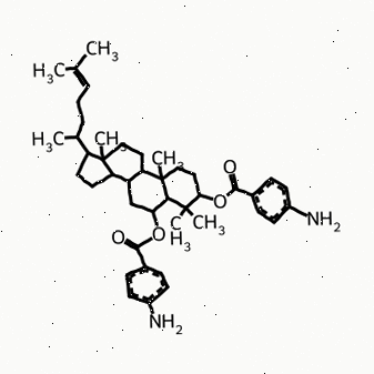 CC(C)=CCCC(C)C1CCC2C3CC(OC(=O)c4ccc(N)cc4)C4C(C)(C)C(OC(=O)c5ccc(N)cc5)CCC4(C)C3CCC12C